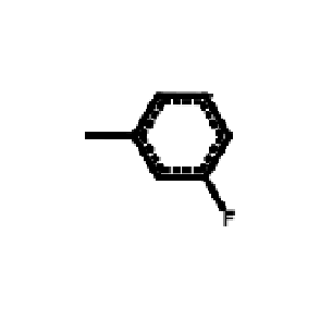 Cc1c[c]cc(F)c1